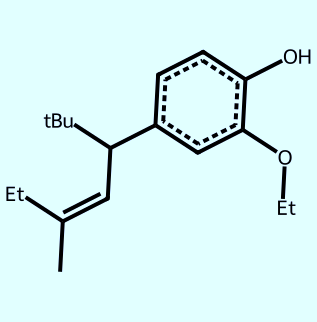 CCOc1cc(C(/C=C(/C)CC)C(C)(C)C)ccc1O